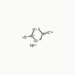 F.[C+3]N(C)C.[O-]B([O-])[O-]